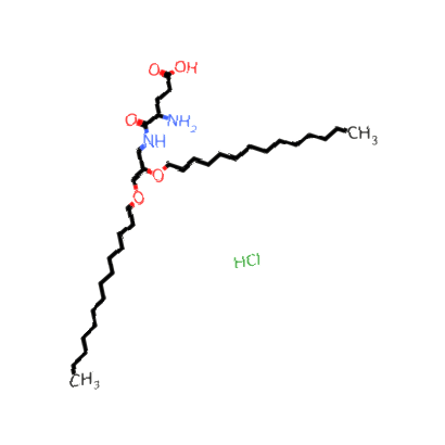 CCCCCCCCCCCCCCOCC(CNC(=O)C(N)CCC(=O)O)OCCCCCCCCCCCCCC.Cl